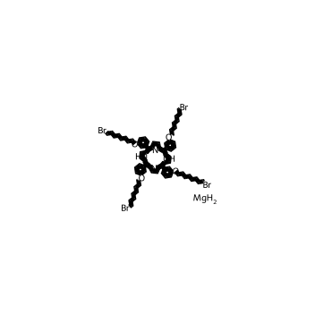 BrCCCCCCCCOc1cccc(-c2c3nc(c(-c4cccc(OCCCCCCCCBr)c4)c4ccc([nH]4)c(-c4cccc(OCCCCCCCCBr)c4)c4nc(c(-c5cccc(OCCCCCCCCBr)c5)c5ccc2[nH]5)C=C4)C=C3)c1.[MgH2]